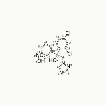 O=[N+]([O-])O.OC(Cn1cncn1)(c1ccccc1)c1ccc(Cl)cc1Cl